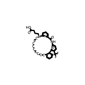 O=C(O)CCCN1CCCCCCCCCc2ccccc2-c2nc(ccc2C(F)(F)F)NC(=O)c2cccc1n2